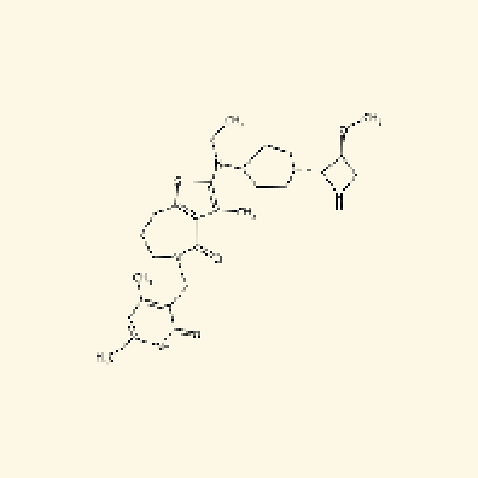 CCN(c1sc2c(c1C)C(=O)N(Cc1c(C)cc(C)[nH]c1=O)CCC2)C1CCC([C@H]2NC[C@@H]2OC)CC1